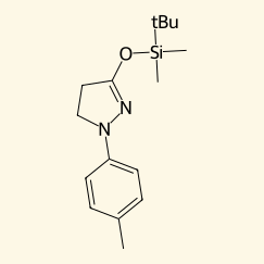 Cc1ccc(N2CCC(O[Si](C)(C)C(C)(C)C)=N2)cc1